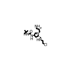 C[C@@H](CN)CN1C[C@H](NC(=O)NC(C)(C)C)C[C@H]1CNCCCl